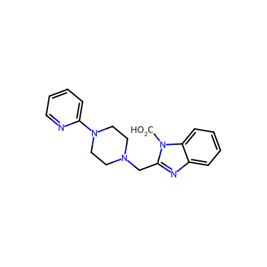 O=C(O)n1c(CN2CCN(c3ccccn3)CC2)nc2ccccc21